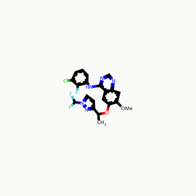 COc1cc2ncnc(Nc3cccc(Cl)c3F)c2cc1OC(C)c1ccn(C(F)F)n1